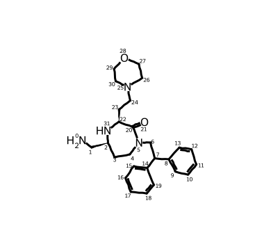 NC[C@@H]1CCN(CC(c2ccccc2)c2ccccc2)C(=O)[C@H](CCN2CCOCC2)N1